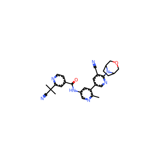 Cc1ncc(NC(=O)c2ccnc(C(C)(C)C#N)c2)cc1-c1cnc(N2C3CCC2COC3)c(C#N)c1